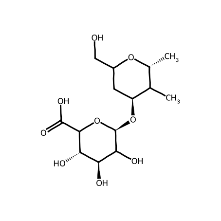 CC1[C@@H](O[C@@H]2OC(C(=O)O)[C@@H](O)[C@H](O)C2O)CC(CO)O[C@@H]1C